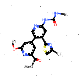 CCNC(=O)Nc1cc(-c2nc(C(F)(F)F)cs2)c(-c2cc(OC(C)C)nc(C(=O)OC)c2)cn1